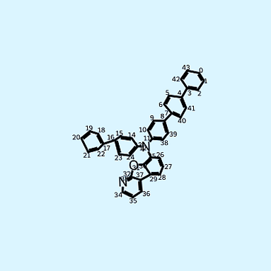 c1ccc(-c2ccc(-c3ccc(N(c4ccc(-c5ccccc5)cc4)c4cccc5c4oc4ncccc45)cc3)cc2)cc1